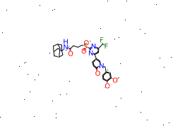 COc1ccc(Cn2cc(-c3cc(C(F)F)nc(S(=O)(=O)CCCC(=O)NC45CC6CC(CC(C6)C4)C5)n3)ccc2=O)cc1OC